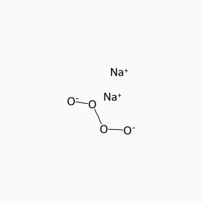 [Na+].[Na+].[O-]OO[O-]